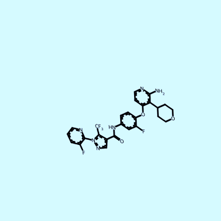 Nc1nccc(Oc2ccc(NC(=O)c3cnn(-c4ncccc4F)c3C(F)(F)F)cc2F)c1C1CCOCC1